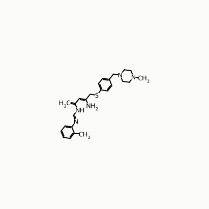 C=C(/C=C(\N)CSc1ccc(CN2CCN(C)CC2)cc1)N/C=N/c1ccccc1C